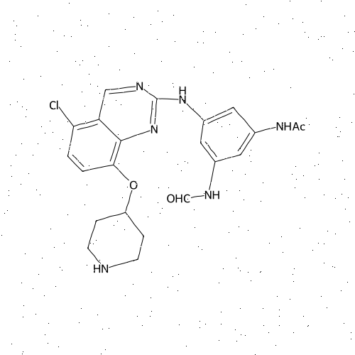 CC(=O)Nc1cc(NC=O)cc(Nc2ncc3c(Cl)ccc(OC4CCNCC4)c3n2)c1